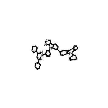 c1ccc(-c2cc(-c3ccccc3)nc(-c3cccc(-n4c5cc(-c6ccc7c(c6)c6ccccc6n7-c6ccccc6)ccc5c5cccnc54)c3)n2)cc1